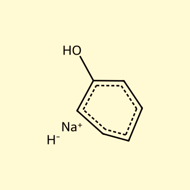 Oc1ccccc1.[H-].[Na+]